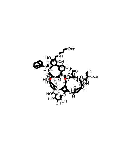 CCCCCCCCCCCCCNCC1[C@H](O)C2C3C[C@H](CC[C@H]3O)[C@H]3NC(=O)[C@@H]4NC(=O)[C@H](CC(N)=O)NC(=O)[C@H](NC(=O)[C@@H](CC(C)C)NC)[C@H](O)[C@H]5CC[C@@H](Oc6cc4cc(c6O[C@@H]4O[C@H](CO)[C@@H](O)[C@H](O)[C@H]4O)O[C@@H]4CC[C@@H](C[C@@H]4Cl)[C@@H](O)[C@H](NC3=O)C(=O)N[C@H](C(=O)NC3C4CC6CC(C4)CC3C6)C2C[C@@H]1O)[C@H](Cl)C5